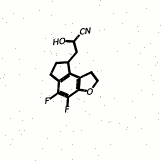 N#CC(O)CC1CCc2c(F)c(F)c3c(c21)CCO3